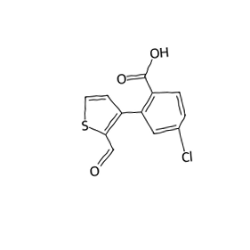 O=Cc1sccc1-c1cc(Cl)ccc1C(=O)O